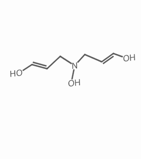 OC=CCN(O)CC=CO